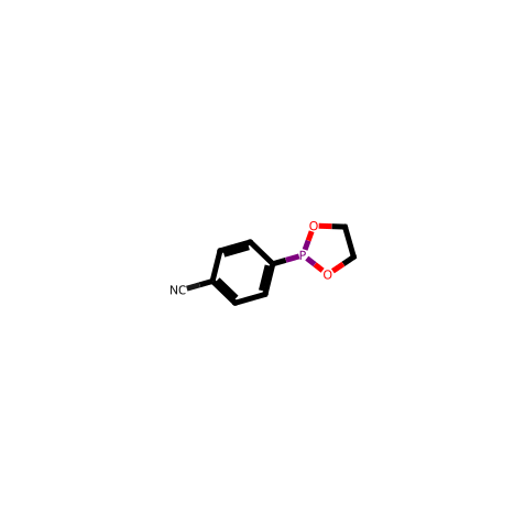 N#Cc1ccc(P2OCCO2)cc1